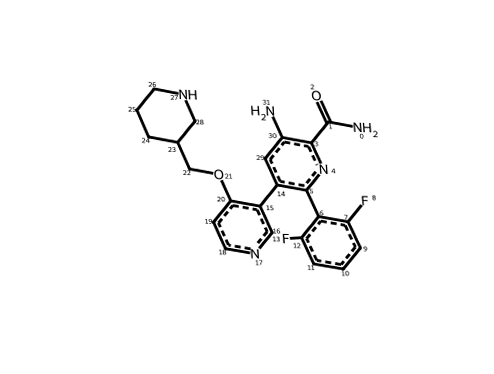 NC(=O)c1nc(-c2c(F)cccc2F)c(-c2cnccc2OCC2CCCNC2)cc1N